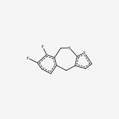 Fc1ccc2c(c1F)CSc1sccc1C2